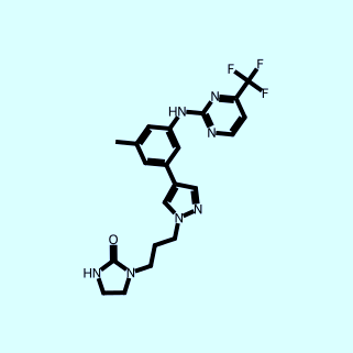 Cc1cc(Nc2nccc(C(F)(F)F)n2)cc(-c2cnn(CCCN3CCNC3=O)c2)c1